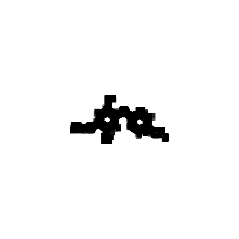 COc1cc(F)c(Oc2ccc(C(F)(F)F)cn2)cc1Br